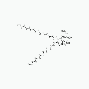 CCCCCCCCCCCCCCCCCCN(C(=O)CCCCCCCCCCCCCCC)[C@@H]1O[C@H](CO)[C@@H](O)[C@H](O)[C@H]1N